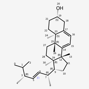 CC(C)[C@@H](C)/C=C/[C@@H](C)[C@H]1CC[C@@]2(C)C3=CC=C4C[C@@H](O)CC[C@]4(C)[C@@]3(C)CC[C@]12C